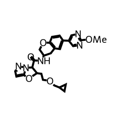 COc1ncc(-c2ccc3c(c2)CC(NC(=O)C2C(CCOCC4CC4)Oc4ccnn42)CO3)cn1